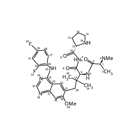 CN[C@@H](C)C(=O)N[C@H](C(=O)NC(=O)[C@@H]1CCCN1)C(C)(C)Cc1cc2c(Nc3ccc(F)cc3F)ncnc2cc1OC